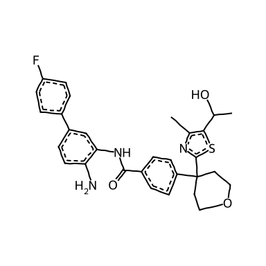 Cc1nc(C2(c3ccc(C(=O)Nc4cc(-c5ccc(F)cc5)ccc4N)cc3)CCOCC2)sc1C(C)O